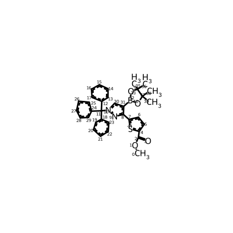 COC(=O)c1ccc(-c2nn(C(c3ccccc3)(c3ccccc3)c3ccccc3)cc2B2OC(C)(C)C(C)(C)O2)s1